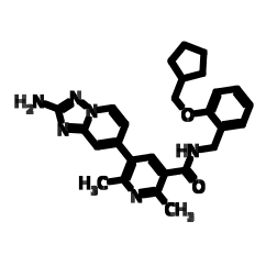 Cc1nc(C)c(-c2ccn3nc(N)nc3c2)cc1C(=O)NCc1ccccc1OCC1CCCC1